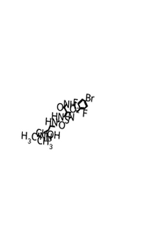 CC(C)(C)NCC(O)CCNC(=O)Nc1snc(OCc2c(F)cc(Br)cc2F)c1C(N)=O